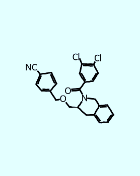 N#Cc1ccc(COC[C@@H]2Cc3ccccc3CN2C(=O)c2ccc(Cl)c(Cl)c2)cc1